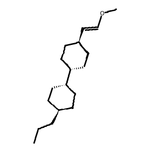 CCC[C@H]1CC[C@H]([C@H]2CC[C@H](C=COC)CC2)CC1